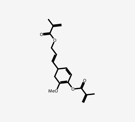 C=C(C)C(=O)OC/C=C/C1C=CC(OC(=O)C(=C)C)=C(OC)C1